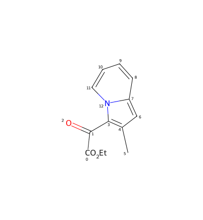 CCOC(=O)C(=O)c1c(C)cc2ccccn12